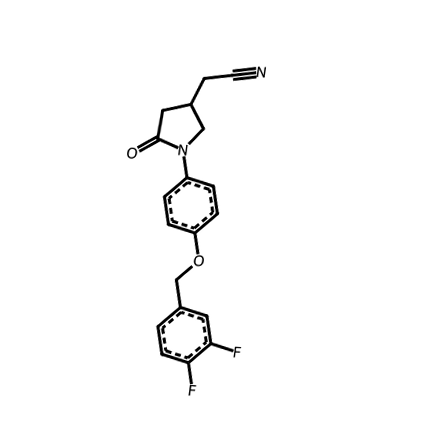 N#CCC1CC(=O)N(c2ccc(OCc3ccc(F)c(F)c3)cc2)C1